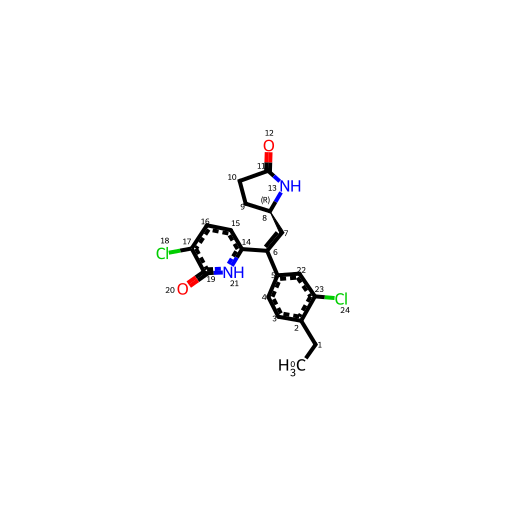 CCc1ccc(C(=C[C@H]2CCC(=O)N2)c2ccc(Cl)c(=O)[nH]2)cc1Cl